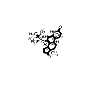 CC(C)(C)[Si](C)(C)OC1=C2[C@H](CC[C@]3(C)C(=O)CC[C@@H]23)[C@@]2(C)CCC(=O)NC2=C1